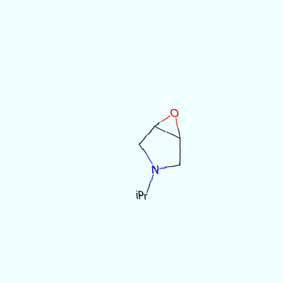 CC(C)N1CC2OC2C1